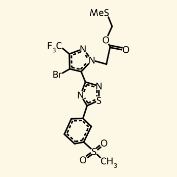 CSCOC(=O)Cn1nc(C(F)(F)F)c(Br)c1-c1nsc(-c2cccc(S(C)(=O)=O)c2)n1